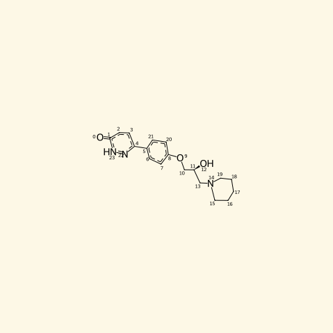 O=c1ccc(-c2ccc(OC[C@@H](O)CN3CCCCC3)cc2)n[nH]1